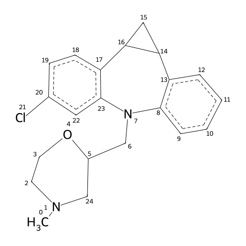 CN1CCOC(CN2c3ccccc3C3CC3c3ccc(Cl)cc32)C1